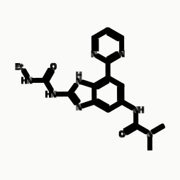 CCNC(=O)Nc1nc2cc(NC(=O)N(C)C)cc(-c3ncccn3)c2[nH]1